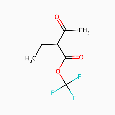 CCC(C(C)=O)C(=O)OC(F)(F)F